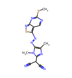 CSc1ncc2c(/N=N/c3c(C)nc(C(C#N)C#N)n3C)snc2n1